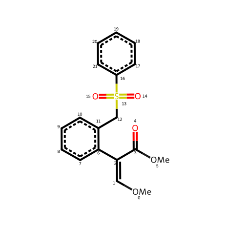 CO/C=C(\C(=O)OC)c1ccccc1CS(=O)(=O)c1ccccc1